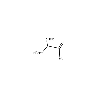 CCCCCCC(CCCCC)C(=O)C(C)(C)C